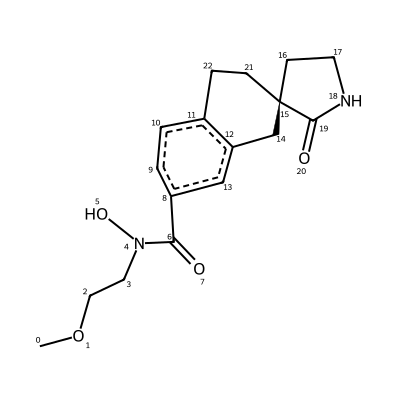 COCCN(O)C(=O)c1ccc2c(c1)C[C@]1(CCNC1=O)CC2